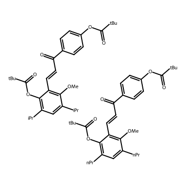 CCCc1cc(CCC)c(OC(=O)C(C)(C)C)c(C=CC(=O)c2ccc(OC(=O)C(C)(C)C)cc2)c1OC.COc1c(C(C)C)cc(C(C)C)c(OC(=O)C(C)(C)C)c1C=CC(=O)c1ccc(OC(=O)C(C)(C)C)cc1